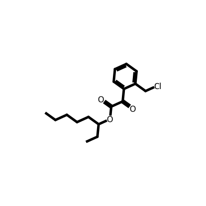 CCCCCC(CC)OC(=O)C(=O)c1ccccc1CCl